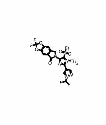 CCS(=O)(=O)c1c(N2Cc3cc4c(cc3C2=O)OC(F)(F)O4)nc(-c2cnn(C(F)F)c2)n1C